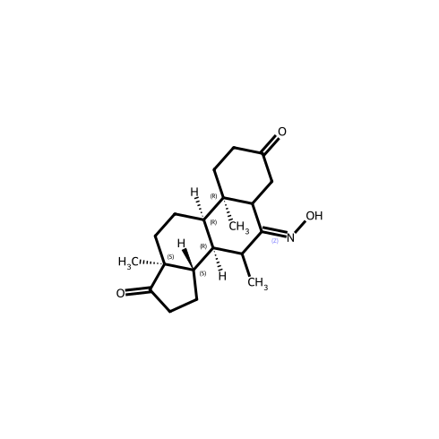 CC1/C(=N/O)C2CC(=O)CC[C@]2(C)[C@@H]2CC[C@]3(C)C(=O)CC[C@H]3[C@H]12